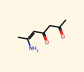 CC(=O)CC(=O)C=C(C)N